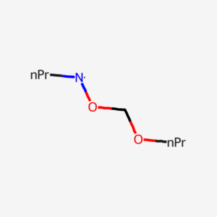 CCC[N]OCOCCC